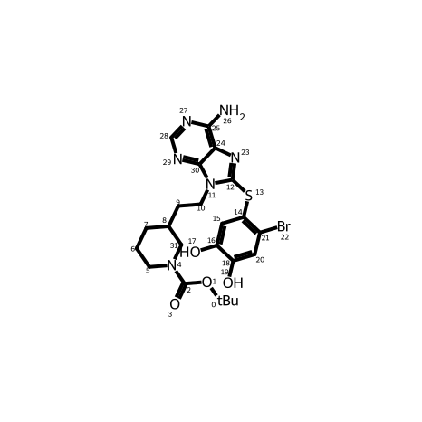 CC(C)(C)OC(=O)N1CCCC(CCn2c(Sc3cc(O)c(O)cc3Br)nc3c(N)ncnc32)C1